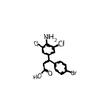 Nc1c(Cl)cc(C(=CC(=O)O)c2ccc(Br)cc2)cc1Cl